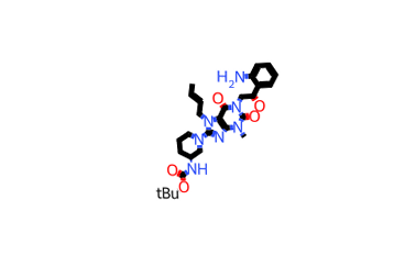 C/C=C/Cn1c(N2CCC[C@@H](NC(=O)OC(C)(C)C)C2)nc2c1c(=O)n(CC(=O)c1ccccc1N)c(=O)n2C